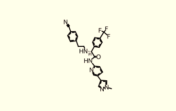 Cn1cc(-c2ccc(NC(=O)[C@H](NCCc3ccc(C#N)cc3)c3ccc(C(F)(F)F)cc3)nc2)cn1